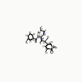 C=C(NC(/C=C\CC)=C(\C)C(C)c1cc(C)c(=O)n(C)c1)c1cccc(C)c1